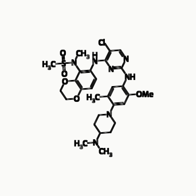 COc1cc(N2CCC(N(C)C)CC2)c(C)cc1Nc1ncc(Cl)c(Nc2ccc3c(c2N(C)S(C)(=O)=O)OCCO3)n1